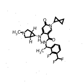 C[C@@H](NC(=O)c1cn([C@@H]2CC23CC3)c(=O)cc1N[C@@H]1[C@@H]2CN(C)C[C@@H]21)c1cccc(C(F)F)c1F